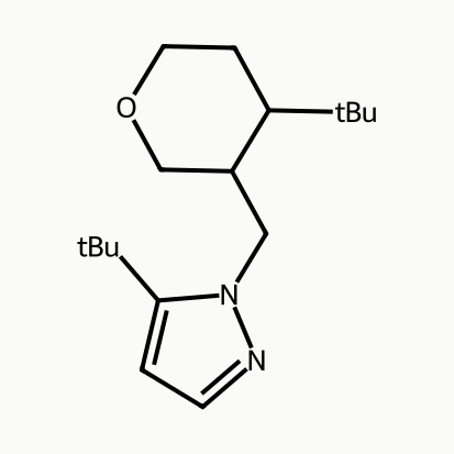 CC(C)(C)c1ccnn1CC1COCCC1C(C)(C)C